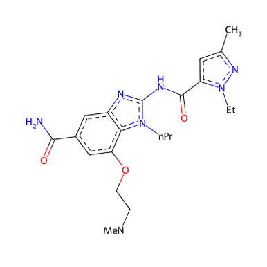 CCCn1c(NC(=O)c2cc(C)nn2CC)nc2cc(C(N)=O)cc(OCCNC)c21